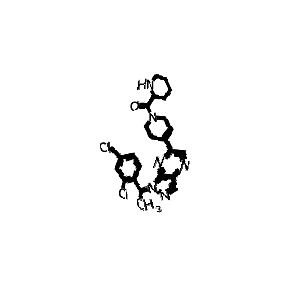 CC(c1ccc(Cl)cc1Cl)n1ncc2ncc(C3=CCN(C(=O)C4CCCCN4)CC3)nc21